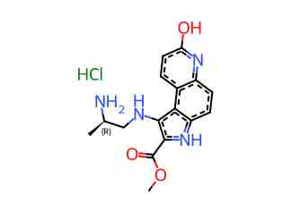 COC(=O)c1[nH]c2ccc3nc(O)ccc3c2c1NC[C@@H](C)N.Cl